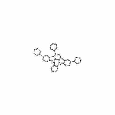 c1ccc(-c2ccc3c(c2)c2cc(-c4ccccc4)c4c5cc(-c6ccccc6)ccc5n5c6ccccc6n3c2c45)cc1